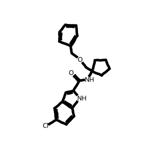 O=C(NC1(COCc2ccccc2)CCCC1)c1cc2cc(Cl)ccc2[nH]1